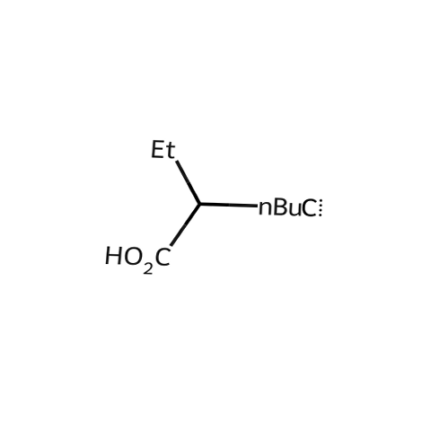 CCCCC(CC)C(=O)O.[C]